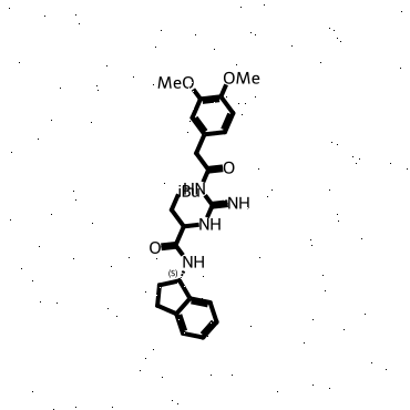 CCC(C)CC(NC(=N)NC(=O)Cc1ccc(OC)c(OC)c1)C(=O)N[C@H]1CCc2ccccc21